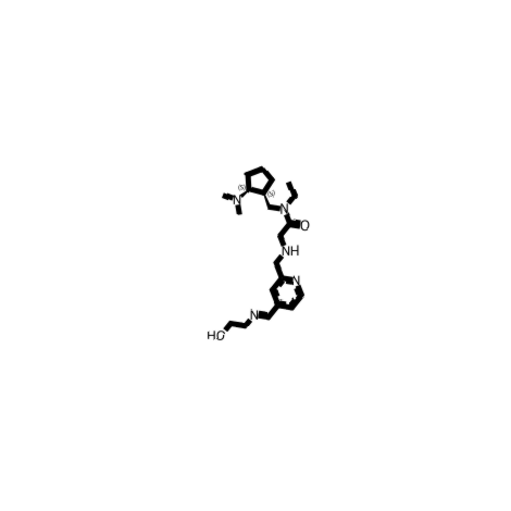 CCN(C[C@@H]1CCC[C@@H]1N(C)C)C(=O)CNCc1cc(C=NCCO)ccn1